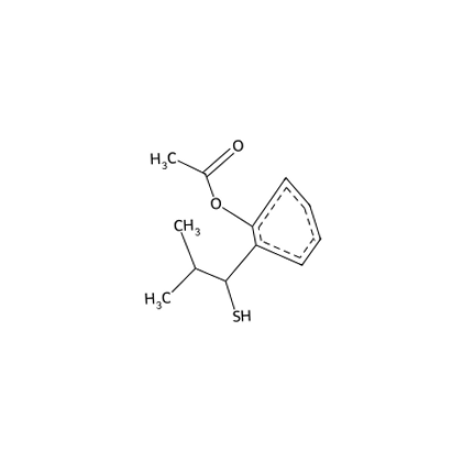 CC(=O)Oc1ccccc1C(S)C(C)C